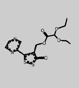 CCOC(OCC)C(=O)OCc1c(-c2cnccn2)ssc1=O